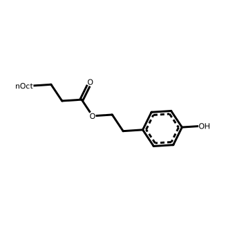 CCCCCCCCCCC(=O)OCCc1ccc(O)cc1